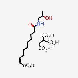 CCCCCCCC/C=C\CCCCCCCC(=O)NCC(C)O.O=C(O)CC(C(=O)O)S(=O)(=O)O